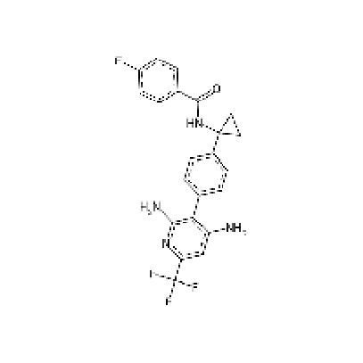 Nc1cc(C(F)(F)F)nc(N)c1-c1ccc(C2(NC(=O)c3ccc(F)cc3)CC2)cc1